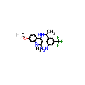 COc1ccc2c(NC(C)c3cc(N)cc(C(F)(F)F)c3)cc(C)nc2c1